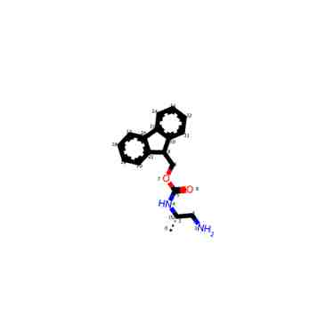 C[C@@H](CN)NC(=O)OCC1c2ccccc2-c2ccccc21